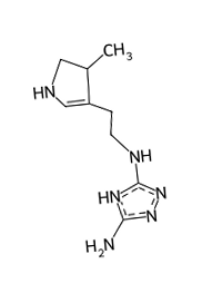 CC1CNC=C1CCNc1nnc(N)[nH]1